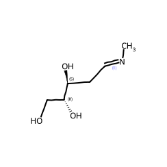 C/N=C/C[C@H](O)[C@H](O)CO